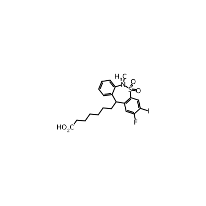 CN1c2ccccc2C(CCCCCCC(=O)O)c2cc(F)c(I)cc2S1(=O)=O